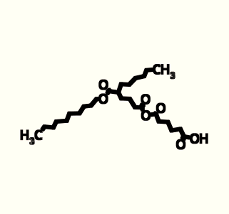 CCCCCCCCCCOC(=O)C(CCCCCC)CCCC(=O)OC(=O)CCCCC(=O)O